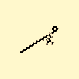 CCCCCCCCCCCCCCCCC[C@H](C[C@@H]1OC(=O)[C@H]1CC)OCc1ccccc1